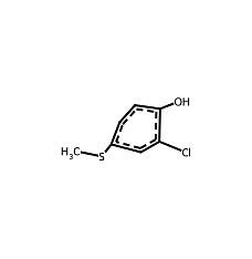 CSc1ccc(O)c(Cl)c1